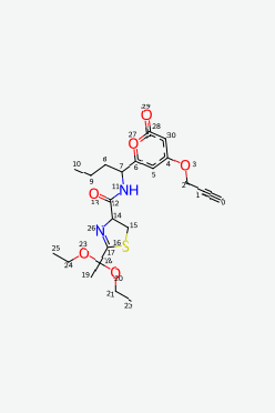 C#CCOc1cc(C(CCC)NC(=O)C2CSC(C(C)(OCC)OCC)=N2)oc(=O)c1